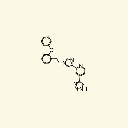 c1ccc(Oc2ccccc2CCn2cnc(-c3cc(-c4c[nH]nn4)ccn3)c2)cc1